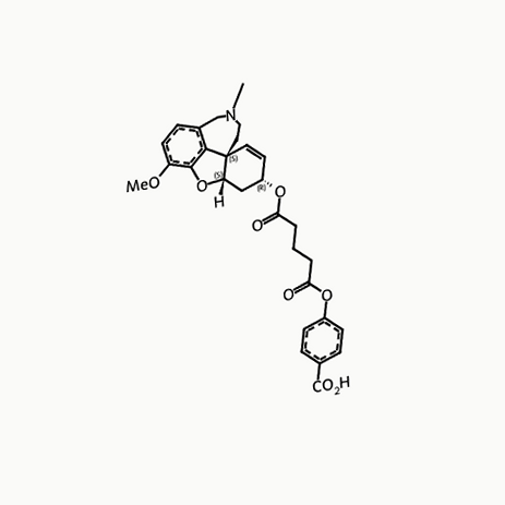 COc1ccc2c3c1O[C@H]1C[C@@H](OC(=O)CCCC(=O)Oc4ccc(C(=O)O)cc4)C=C[C@@]31CCN(C)C2